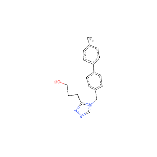 OCCCc1nncn1Cc1ccc(-c2ccc(C(F)(F)F)cc2)cc1